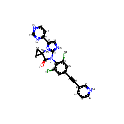 O=C1N(c2c(F)cc(C#Cc3cccnc3)cc2F)c2ncc(-c3ccncn3)n2C12CC2